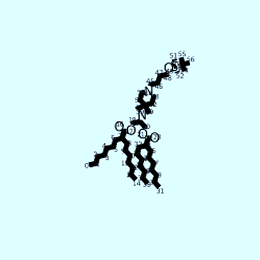 CCCCCCCC(CCCCCCC)C(=O)OCC(COC(=O)C(CCCCCCC)CCCCCCC)N1CC2(CCN(CCCCO[Si](C)(C)C(C)(C)C)CC2)C1